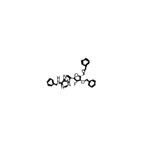 F[C@H]1[C@H](OCc2ccccc2)[C@@H](COCc2ccccc2)O[C@@H]1c1cnc2c(NCc3ccccc3)ncnn12